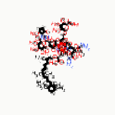 C=C(CCC(C)(C)/C=C/CC/C(C)=C\CO[C@H](COP(=O)(O)O[C@H]1O[C@H](C(N)=O)[C@@](C)(O)[C@H](OC(N)=O)[C@H]1O[C@@H]1O[C@H](CO[C@@H]2O[C@H](CO)[C@@H](O)[C@H](O)[C@H]2O)[C@@H](O[C@@H]2O[C@H](CO)[C@@H](O[C@@H]3O[C@H](C(=O)NC4=C(O)CCC4=O)[C@H](O)[C@H](O)[C@H]3O)[C@H](O)[C@H]2NC(C)=O)[C@H](O)[C@H]1NC(C)=O)C(=O)O)CC1C(=C)CCCC1(C)C